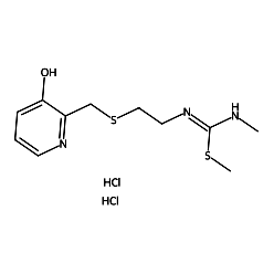 CN/C(=N/CCSCc1ncccc1O)SC.Cl.Cl